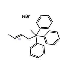 Br.C/C=C/CP(C)(c1ccccc1)(c1ccccc1)c1ccccc1